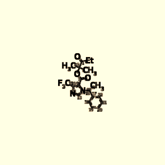 CCC(=O)C(C)(C)OC(=O)c1c(C(F)(F)F)ncn1[C@H](C)c1ccccc1